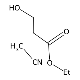 CC#N.CCOC(=O)CCO